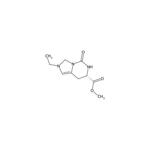 CCN1C=C2C[C@@H](C(=O)OC)NC(=O)N2C1